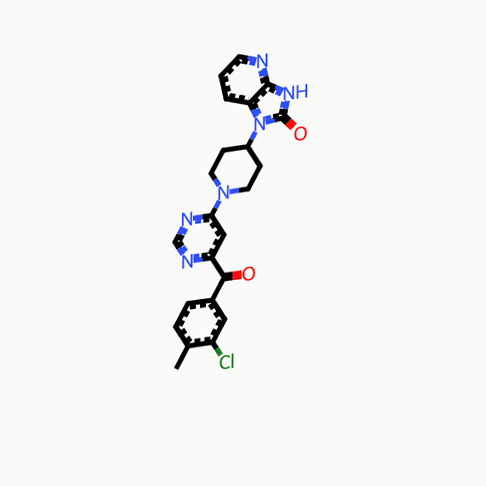 Cc1ccc(C(=O)c2cc(N3CCC(n4c(=O)[nH]c5ncccc54)CC3)ncn2)cc1Cl